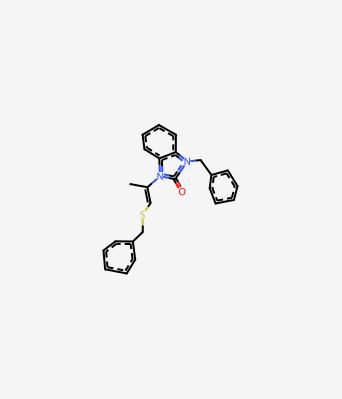 C/C(=C\SCc1ccccc1)n1c(=O)n(Cc2ccccc2)c2ccccc21